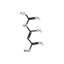 C=C(C)N/C(C)=C/C(=C)OC